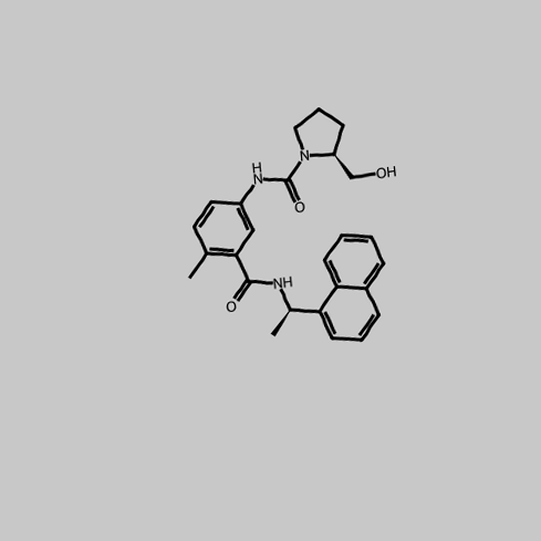 Cc1ccc(NC(=O)N2CCC[C@H]2CO)cc1C(=O)N[C@H](C)c1cccc2ccccc12